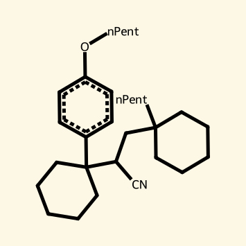 CCCCCOc1ccc(C2(C(C#N)CC3(CCCCC)CCCCC3)CCCCC2)cc1